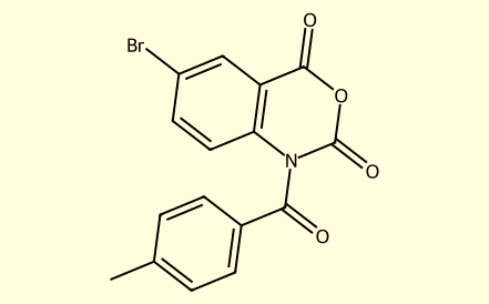 Cc1ccc(C(=O)n2c(=O)oc(=O)c3cc(Br)ccc32)cc1